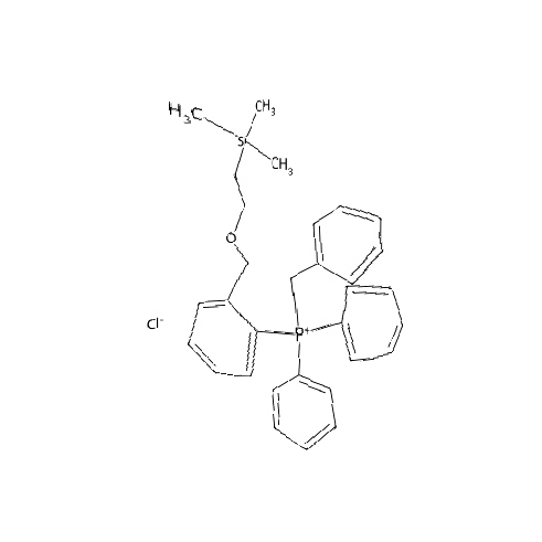 C[Si](C)(C)CCOCc1ccccc1[P+](Cc1ccccc1)(c1ccccc1)c1ccccc1.[Cl-]